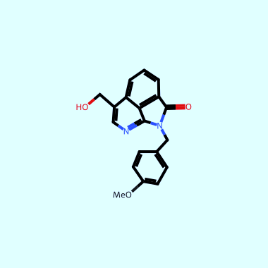 COc1ccc(CN2C(=O)c3cccc4c(CO)cnc2c34)cc1